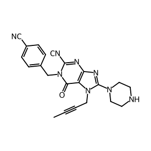 [C-]#[N+]c1nc2nc(N3CCNCC3)n(CC#CC)c2c(=O)n1Cc1ccc(C#N)cc1